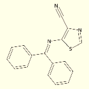 N#Cc1ncsc1N=C(c1ccccc1)c1ccccc1